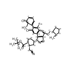 Cc1c(Cl)cccc1-c1c(Cl)cc2c(nc(OC[C@@H]3CCCN3C)c3nnn([C@H]4CCN(C(=O)OC(C)(C)C)[C@H](CC#N)C4)c32)c1F